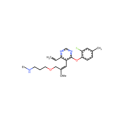 C=Cc1ncnc(Oc2ccc(C)cc2F)c1/C=C(\COCCCNCC)OC